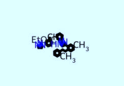 CCOC(=O)c1ccccc1.Cc1ccc(CCc2ccccc2C)c(-c2c[nH]nn2)c1.Cc1cccc(-n2ccnn2)c1